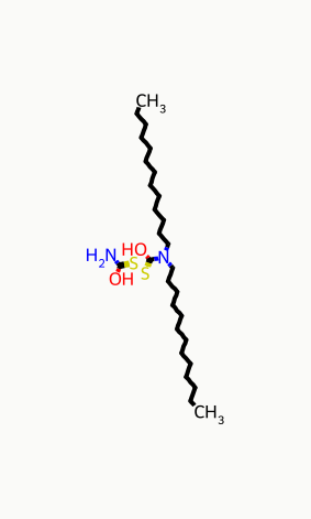 CCCCCCCCCCCCCN(CCCCCCCCCCCCC)C(O)=S.NC(O)=S